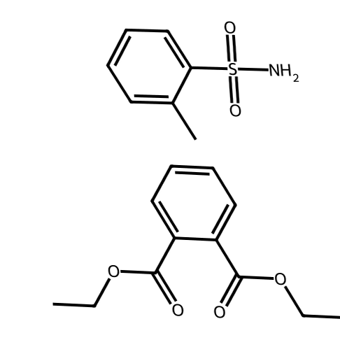 CCOC(=O)c1ccccc1C(=O)OCC.Cc1ccccc1S(N)(=O)=O